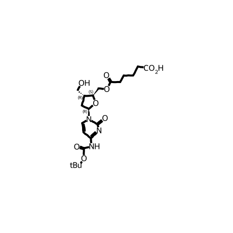 CC(C)(C)OC(=O)Nc1ccn([C@H]2C[C@H](CO)[C@@H](COC(=O)CCCCC(=O)O)O2)c(=O)n1